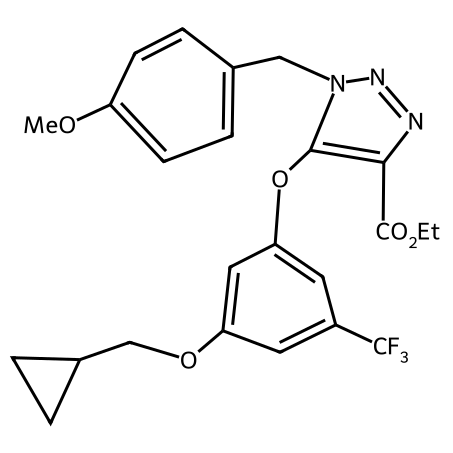 CCOC(=O)c1nnn(Cc2ccc(OC)cc2)c1Oc1cc(OCC2CC2)cc(C(F)(F)F)c1